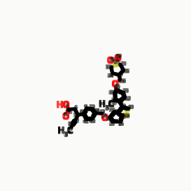 CC#CC(CC(=O)O)c1ccc(COc2ccc3scc(-c4ccc(OCC5CCS(=O)(=O)CC5)cc4C)c3c2)cc1